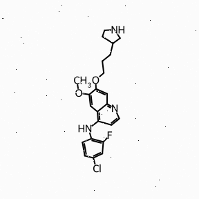 COc1cc2c(Nc3ccc(Cl)cc3F)ccnc2cc1OCCCC1CCNC1